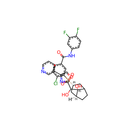 O=C(Nc1ccc(F)c(F)c1)c1ccc(Cl)c(S(=O)(=O)[C@@H]2CC3CC[C@@H](C2)[C@@]3(O)C(O)c2nc(-c3cccnc3)co2)c1